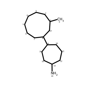 CC1CCCCCCC(C2CCCC(N)CC2)C1